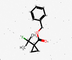 CC(C)(F)C1(C(=O)OCc2ccccc2)CC1